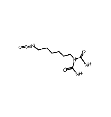 [NH]C(=O)N(CCCCCCN=C=O)C([NH])=O